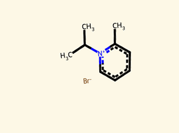 Cc1cccc[n+]1C(C)C.[Br-]